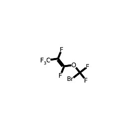 FC(OC(F)(F)Br)=C(F)C(F)(F)F